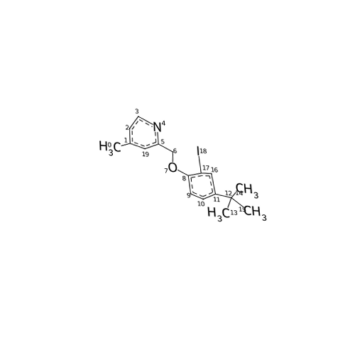 Cc1ccnc(COc2ccc(C(C)(C)C)cc2I)c1